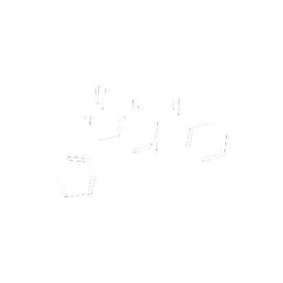 CC(C)n1nc(-c2ccccc2)c2cnc(Nc3ccccc3)nc21